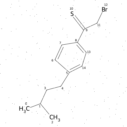 CC(C)CCc1ccc(C(=S)CBr)cc1